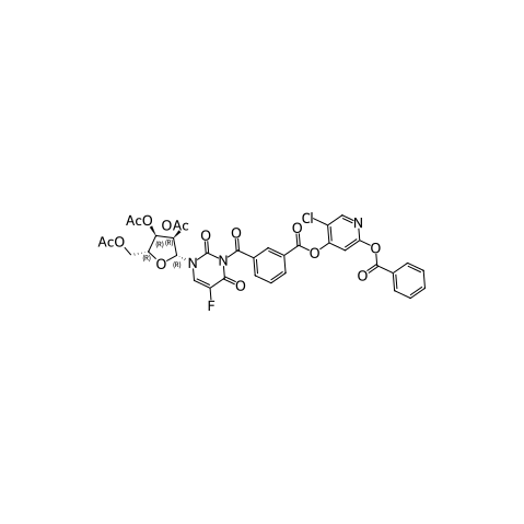 CC(=O)OC[C@H]1O[C@@H](n2cc(F)c(=O)n(C(=O)c3cccc(C(=O)Oc4cc(OC(=O)c5ccccc5)ncc4Cl)c3)c2=O)[C@H](OC(C)=O)[C@@H]1OC(C)=O